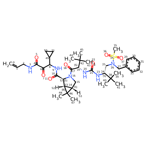 C=CCNC(=O)C(=O)C(NC(=O)[C@@H]1[C@@H]2[C@H](CN1C(=O)[C@@H](NC(=O)N[C@H](CN(Cc1ccccc1)S(C)(=O)=O)C(C)(C)C)C(C)(C)C)C2(C)C)C1CC1